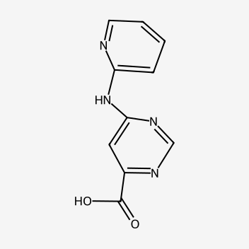 O=C(O)c1cc(Nc2ccccn2)ncn1